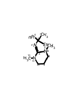 CCCC(C)(CC)N=C1N(C)CCCN1C